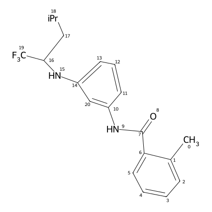 Cc1ccccc1C(=O)Nc1cccc(NC(CC(C)C)C(F)(F)F)c1